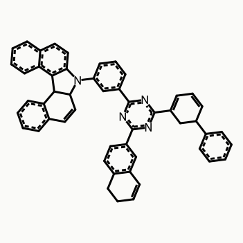 C1=CC(c2ccccc2)CC(c2nc(-c3cccc(N4c5ccc6ccccc6c5C5c6ccccc6C=CC54)c3)nc(-c3ccc4c(c3)C=CCC4)n2)=C1